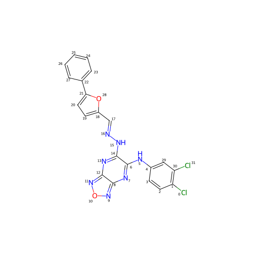 Clc1ccc(Nc2nc3nonc3nc2NN=Cc2ccc(-c3ccccc3)o2)cc1Cl